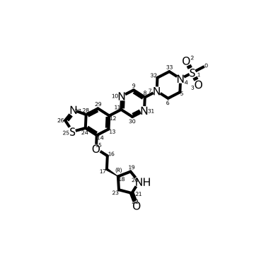 CS(=O)(=O)N1CCN(c2cnc(-c3cc(OCC[C@H]4CNC(=O)C4)c4scnc4c3)cn2)CC1